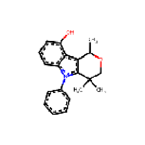 CC1OCC(C)(C)c2c1c1c(O)cccc1n2-c1ccccc1